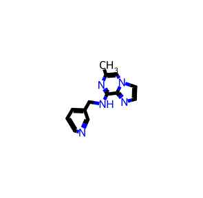 Cc1cn2ccnc2c(NCc2cccnc2)n1